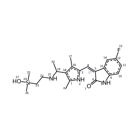 Cc1[nH]c(/C=C2\C(=O)Nc3ccc(F)cc32)c(C)c1C(C)NCC[Si](C)(C)O